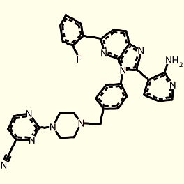 N#Cc1ccnc(N2CCN(Cc3ccc(-n4c(-c5cccnc5N)nc5ccc(-c6ccccc6F)nc54)cc3)CC2)n1